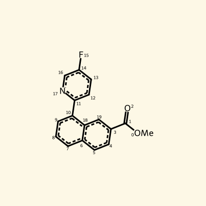 COC(=O)c1ccc2cccc(-c3ccc(F)cn3)c2c1